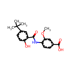 COc1cc(C(=O)O)ccc1NC(=O)c1cc(C(C)(C)C)ccc1O